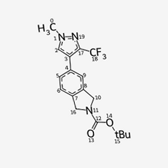 Cn1cc(-c2ccc3c(c2)CN(C(=O)OC(C)(C)C)C3)c(C(F)(F)F)n1